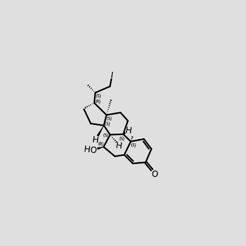 C[C@H](CI)[C@H]1CC[C@H]2[C@@H]3[C@H](O)CC4=CC(=O)C=C[C@]4(C)[C@H]3CC[C@]12C